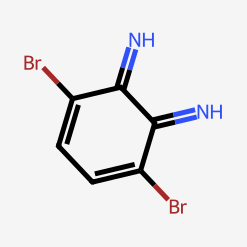 N=C1C(=N)C(Br)=CC=C1Br